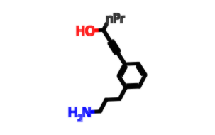 CCCC(O)C#Cc1cccc(CCCN)c1